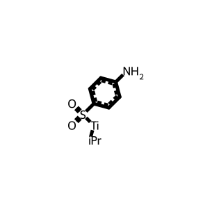 C[CH](C)[Ti][S](=O)(=O)c1ccc(N)cc1